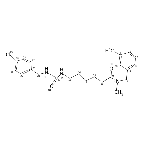 Cc1cccc(CN(C)C(=O)CCCCCNC(=O)NCc2ccc(Cl)cc2)c1